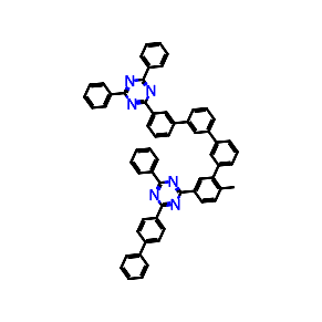 Cc1ccc(-c2nc(-c3ccccc3)nc(-c3ccc(-c4ccccc4)cc3)n2)cc1-c1cccc(-c2cccc(-c3cccc(-c4nc(-c5ccccc5)nc(-c5ccccc5)n4)c3)c2)c1